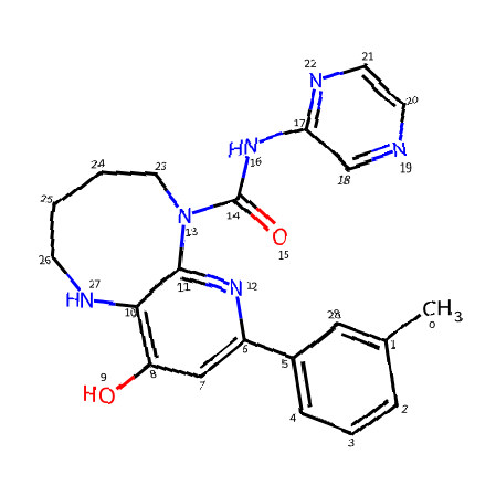 Cc1cccc(-c2cc(O)c3c(n2)N(C(=O)Nc2cnccn2)CCCCN3)c1